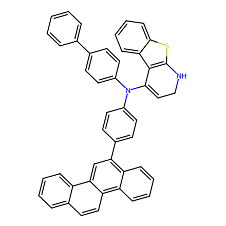 C1=C(N(c2ccc(-c3ccccc3)cc2)c2ccc(-c3cc4c5ccccc5ccc4c4ccccc34)cc2)c2c(sc3ccccc23)NC1